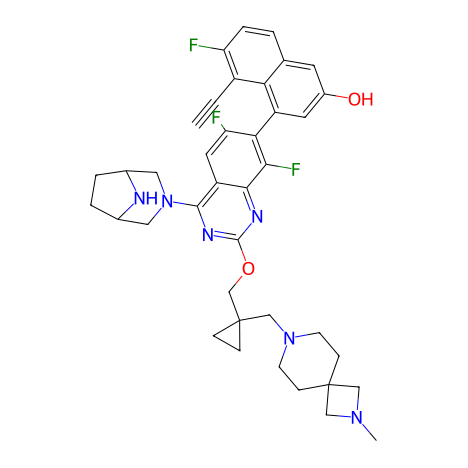 C#Cc1c(F)ccc2cc(O)cc(-c3c(F)cc4c(N5CC6CCC(C5)N6)nc(OCC5(CN6CCC7(CC6)CN(C)C7)CC5)nc4c3F)c12